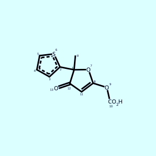 CC1(c2cccs2)OC(OC(=O)O)=CC1=O